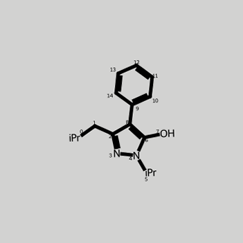 CC(C)Cc1nn(C(C)C)c(O)c1-c1ccccc1